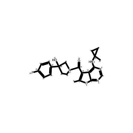 Cc1oc2ncnc(NC3(C)CC3)c2c1C(=O)N1CCC(O)(c2ccc(F)cc2)C1